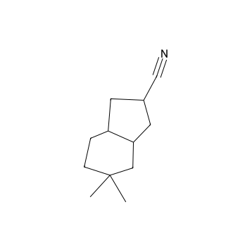 CC1(C)CCC2CC(C#N)CC2C1